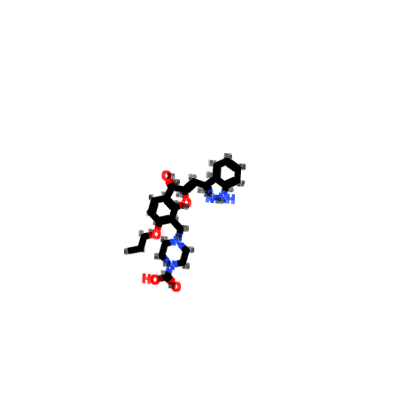 CCCOc1ccc2c(c1CN1CCN(C(=O)O)CC1)OC(=Cc1n[nH]c3ccccc13)C2=O